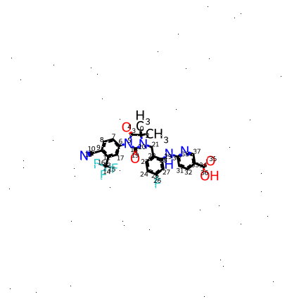 CC1(C)C(=O)N(c2ccc(C#N)c(C(F)(F)F)c2)C(=O)N1Cc1ccc(F)cc1Nc1ccc(C(=O)O)cn1